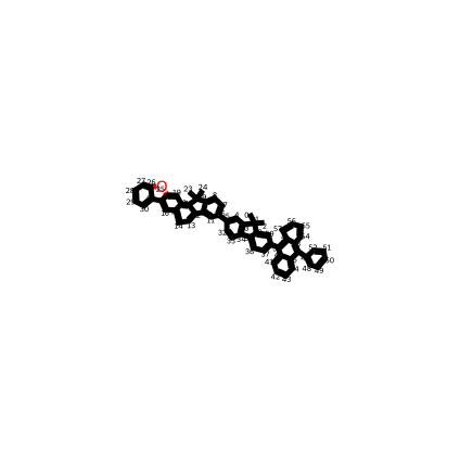 CC1(C)c2cc(-c3ccc4c(c3)-c3ccc5cc6c(cc5c3C4(C)C)oc3ccccc36)ccc2-c2ccc(-c3c4ccccc4c(-c4ccccc4)c4ccccc34)cc21